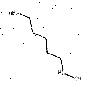 CBCCCCCCCCC